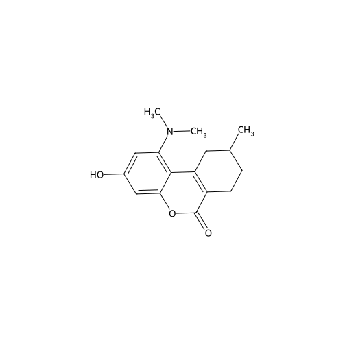 CC1CCc2c(c3c(N(C)C)cc(O)cc3oc2=O)C1